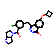 O=C(c1cc(Cc2n[nH]c(=O)c3ccc(OC4CCC4)cc23)ccc1F)N1CCC2NCCC21